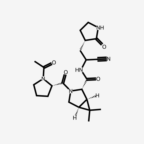 CC(=O)N1CCC[C@H]1C(=O)N1C[C@H]2[C@@H]([C@H]1C(=O)NC(C#N)C[C@@H]1CCNC1=O)C2(C)C